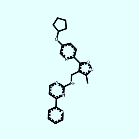 Cc1noc(-c2ccc(OC3CCCC3)cn2)c1CNc1nccc(-c2ccccn2)n1